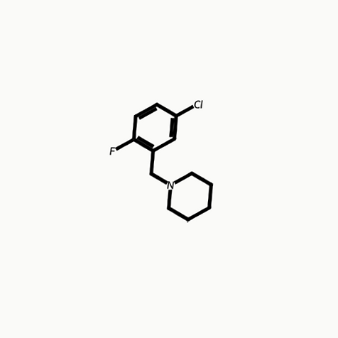 Fc1ccc(Cl)cc1CN1C[CH]CCC1